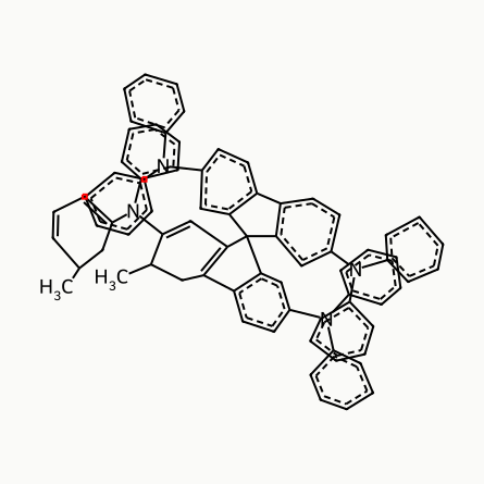 CC1C=CC=C(N(C2=CC3=C(CC2C)c2ccc(N(c4ccccc4)c4ccccc4)cc2C32c3cc(N(c4ccccc4)c4ccccc4)ccc3-c3ccc(N(c4ccccc4)c4ccccc4)cc32)c2ccccc2)C1